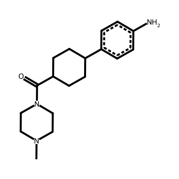 CN1CCN(C(=O)C2CCC(c3ccc(N)cc3)CC2)CC1